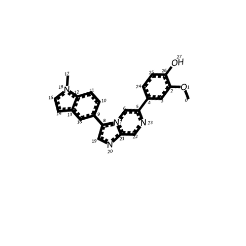 COc1cc(-c2cn3c(-c4ccc5c(ccn5C)c4)cnc3cn2)ccc1O